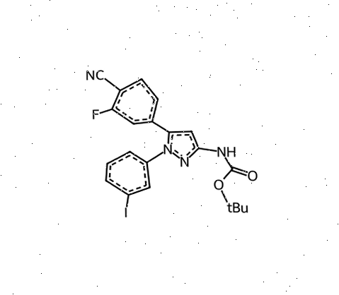 CC(C)(C)OC(=O)Nc1cc(-c2ccc(C#N)c(F)c2)n(-c2cccc(I)c2)n1